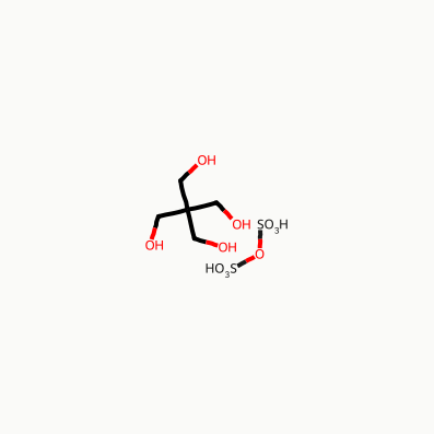 O=S(=O)(O)OS(=O)(=O)O.OCC(CO)(CO)CO